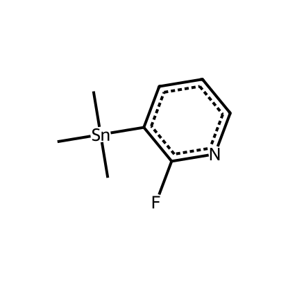 [CH3][Sn]([CH3])([CH3])[c]1cccnc1F